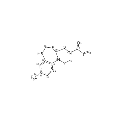 C=CC(=O)N1CCN2c3ncc(C(F)(F)F)cc3SCCC2C1